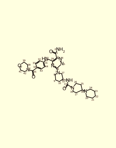 NC(=O)c1nnc(N2CCC[C@@H](NC(=O)N3CCC(N4CCCCC4)CC3)C2)nc1Nc1ccc(C(=O)N2CCOCC2)cc1